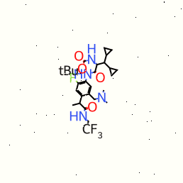 CC(C(=O)NCC(F)(F)F)c1cc(F)c(NC(=O)C(NC(=O)OC(C)(C)C)C(C2CC2)C2CC2)cc1CN(C)C